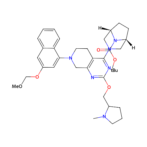 COCOc1cc(N2CCc3c(nc(OCC4CCCN4C)nc3N3C[C@H]4CC[C@@H](C3)N4C(=O)OC(C)(C)C)C2)c2ccccc2c1